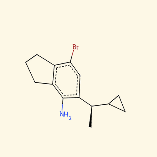 C[C@@H](c1cc(Br)c2c(c1N)CCC2)C1CC1